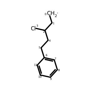 [CH2]CC(Cl)CCc1ccccc1